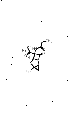 CCC(=S)NC1(C(=O)[O-])C(=O)N2C3CC3(C)S[C@H]21.[Na+]